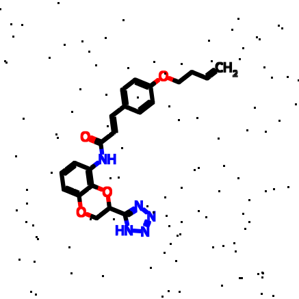 C=CCCOc1ccc(C=CC(=O)Nc2cccc3c2OC(c2nnn[nH]2)CO3)cc1